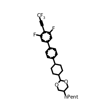 CCCCCC1COC(C2CCC(c3ccc(-c4cc(F)c(C#CC(F)(F)F)c(F)c4)cc3)CC2)OC1